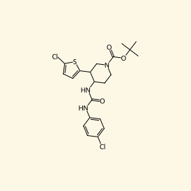 CC(C)(C)OC(=O)N1CCC(NC(=O)Nc2ccc(Cl)cc2)C(c2ccc(Cl)s2)C1